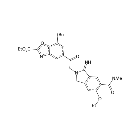 CCOC(=O)c1nc2cc(C(=O)CN3Cc4cc(OCC)c(C(=O)NC)cc4C3=N)cc(C(C)(C)C)c2o1